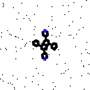 c1ccc(-c2cc(-c3ccncc3)cc3c(-c4ccccc4)cc(-c4ccncc4)cc23)cc1